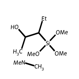 CCC(C(C)O)[Si](OC)(OC)OC.CNC